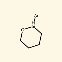 CC(=O)[SiH]1CCCCO1